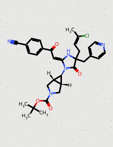 C/C(Cl)=C/CC1(Cc2ccncc2)N/C(=C\C(=O)c2ccc(C#N)cc2)N([C@H]2[C@@H]3CN(C(=O)OC(C)(C)C)C[C@@H]32)C1=O